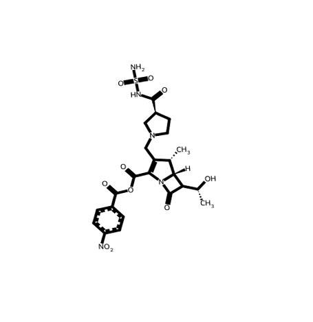 C[C@@H](O)C1C(=O)N2C(C(=O)OC(=O)c3ccc([N+](=O)[O-])cc3)=C(CN3CC[C@H](C(=O)NS(N)(=O)=O)C3)[C@H](C)[C@H]12